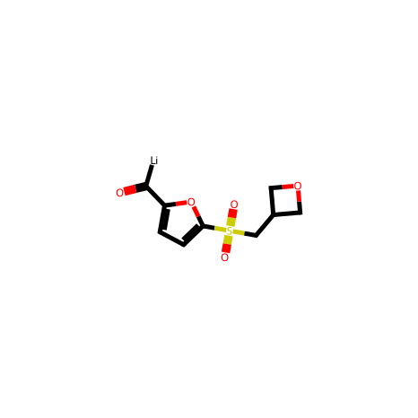 [Li][C](=O)c1ccc(S(=O)(=O)CC2COC2)o1